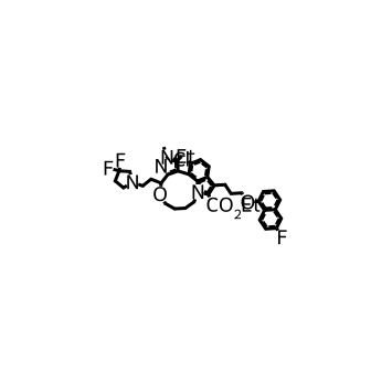 CCOC(=O)c1c(CCCOc2cccc3cc(F)ccc23)c2ccc(Cl)c3c2n1CCCCOC(CCN1CCC(F)(F)C1)c1nn(C)c(CC)c1-3